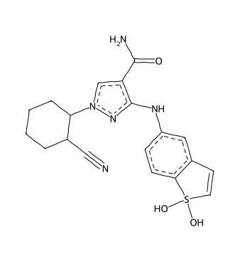 N#CC1CCCCC1n1cc(C(N)=O)c(Nc2ccc3c(c2)C=CS3(O)O)n1